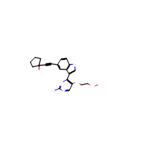 COCCOc1cnc(N)nc1-c1c[nH]c2ccc(C#CC3(O)CCCC3)cc12